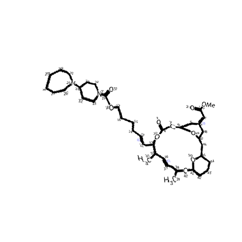 COC(=O)/C=C1\CC2CC(=O)OC(/C=C/CCCCOC(=O)N3CCC(N4CCCCCC4)CC3)C(C)/C=C/C(C)CC3CCCC(CC(C1)O2)O3